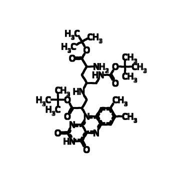 Cc1cc2nc3c(=O)[nH]c(=O)nc-3n(C(CNC(CNC(=O)OC(C)(C)C)CC(N)C(=O)OC(C)(C)C)C(=O)OC(C)(C)C)c2cc1C